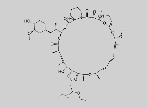 CCOC(C)OCC.CO[C@H]1C[C@@H]2CC[C@@H](C)[C@@](O)(O2)C(=O)C(=O)N2CCCC[C@H]2C(=O)O[C@H]([C@H](C)C[C@@H]2CC[C@@H](O)[C@H](OC)C2)CC(=O)[C@H](C)/C=C(\C)[C@@H](O)[C@@H](OC)C(=O)[C@H](C)C[C@H](C)/C=C/C=C/C=C/1C